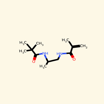 C=C(C)C(=O)NCC(C)NC(=O)C(C)(C)C